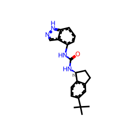 CC(C)(C)c1ccc2c(c1)CC[C@@H]2NC(=O)Nc1cccc2[nH]ncc12